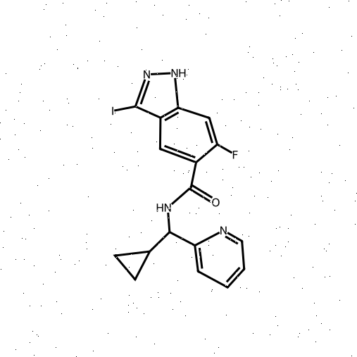 O=C(NC(c1ccccn1)C1CC1)c1cc2c(I)n[nH]c2cc1F